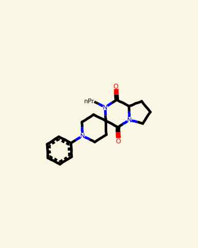 CCCN1C(=O)C2CCCN2C(=O)C12CCN(c1ccccc1)CC2